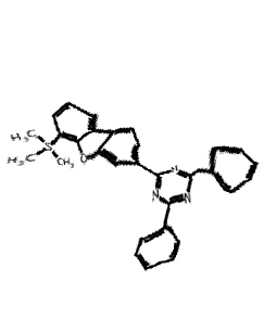 CS(C)(C)c1cccc2c1oc1cc(-c3nc(-c4ccccc4)nc(-c4ccccc4)n3)ccc12